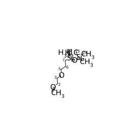 COCCOCCC[SiH](C)O[Si](C)(C)C